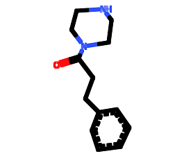 O=C(CCc1ccccc1)N1CCNCC1